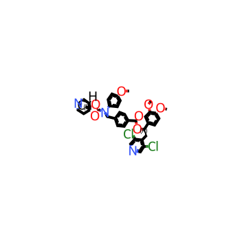 COc1ccc(N(Cc2ccc(C(=O)O[C@H](Cc3c(Cl)cncc3Cl)c3ccc(OC)c(OC)c3)cc2)C(=O)O[C@H]2CN3CCC2CC3)cc1